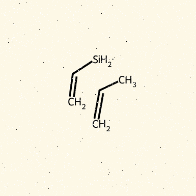 C=CC.C=C[SiH2]